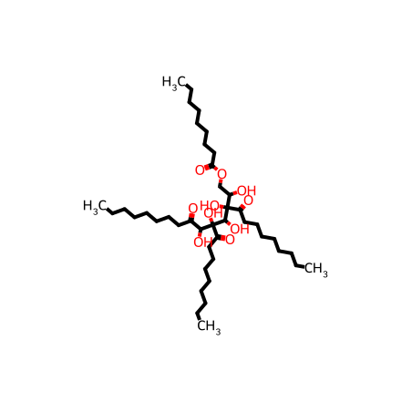 CCCCCCCCC(=O)OCC(O)C(O)(C(=O)CCCCCCCC)C(O)C(O)(C(=O)CCCCCCCC)C(O)C(=O)CCCCCCCC